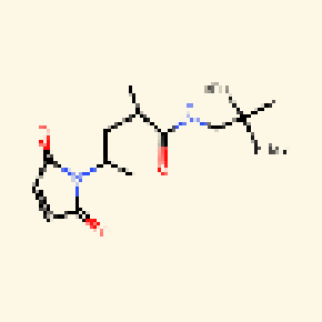 CCCCCCC(C)(CCCC)CNC(=O)C(C)CC(C)N1C(=O)C=CC1=O